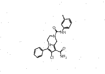 Cc1cccc(NC(=O)N2CCn3c(c(C(N)=O)c(Cl)c3-c3ccccc3)C2)c1